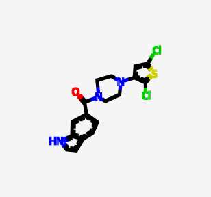 O=C(c1ccc2cc[nH]c2c1)N1CCN(c2cc(Cl)sc2Cl)CC1